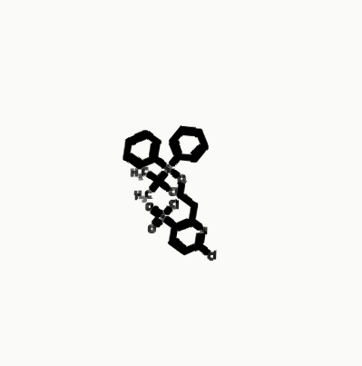 CC(C)(C)[Si](OCCc1nc(Cl)ccc1S(=O)(=O)Cl)(c1ccccc1)c1ccccc1